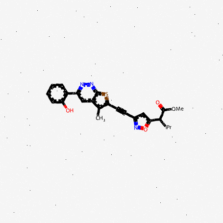 COC(=O)C(c1cc(C#Cc2sc3nnc(-c4ccccc4O)cc3c2C)no1)C(C)C